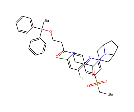 CC(C)(C)CS(=O)(=O)c1cc(CNC(=O)CCO[Si](c2ccccc2)(c2ccccc2)C(C)(C)C)nc(N2C3CCC2CN(C(=O)c2ccc(F)cc2Cl)C3)c1